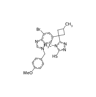 COc1ccc(Cn2cnc3c(Br)cc(C4(c5nnc(S)n5C)CC(C)C4)cc32)cc1